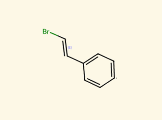 Br/C=C/c1cc[c]cc1